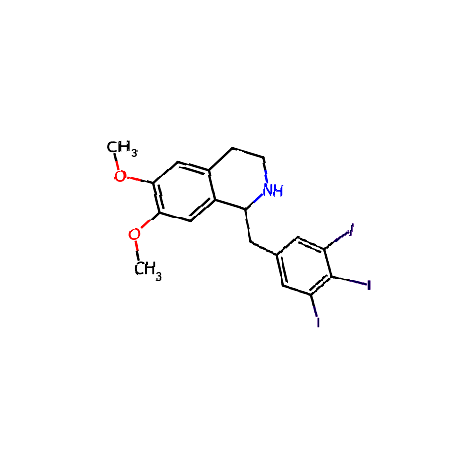 COc1cc2c(cc1OC)C(Cc1cc(I)c(I)c(I)c1)NCC2